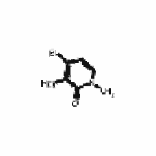 CCc1ccn(C)c(=O)c1O